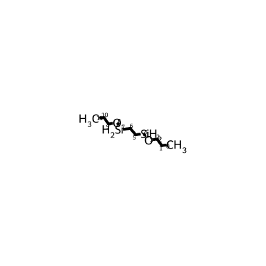 CCCO[SiH2]CC[SiH2]OCCC